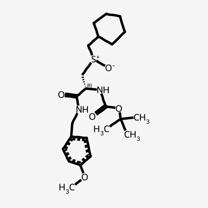 COc1ccc(CNC(=O)[C@H](C[S+]([O-])CC2CCCCC2)NC(=O)OC(C)(C)C)cc1